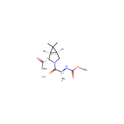 CC[C@@H](C)[C@H](NC(=O)OC(C)(C)C)C(=O)N1C[C@H]2[C@@H]([C@H]1C(=O)OC)C2(C)C.Cl